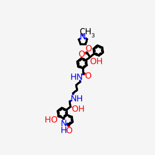 CN1CC[C@@H](OC(=O)C(O)(c2ccccc2)c2cccc(C(=O)NCCCCNC[C@H](O)c3ccc(O)c4[nH]c(=O)ccc34)c2)C1